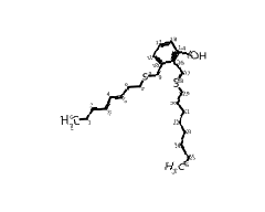 CCCCCCCCSCc1cccc(O)c1CSCCCCCCCC